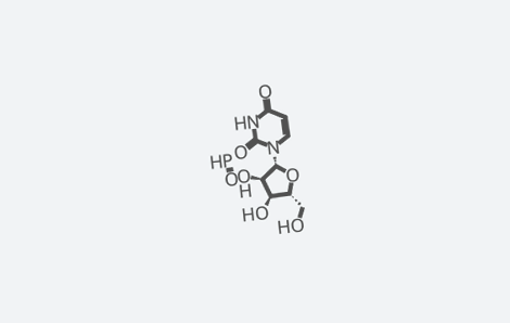 O=P.O=c1ccn([C@@H]2O[C@H](CO)[C@@H](O)[C@H]2O)c(=O)[nH]1